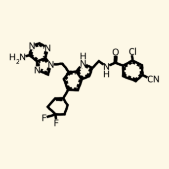 N#Cc1ccc(C(=O)NCc2cc3cc(C4=CCC(F)(F)CC4)cc(Cn4cnc5c(N)ncnc54)c3[nH]2)c(Cl)c1